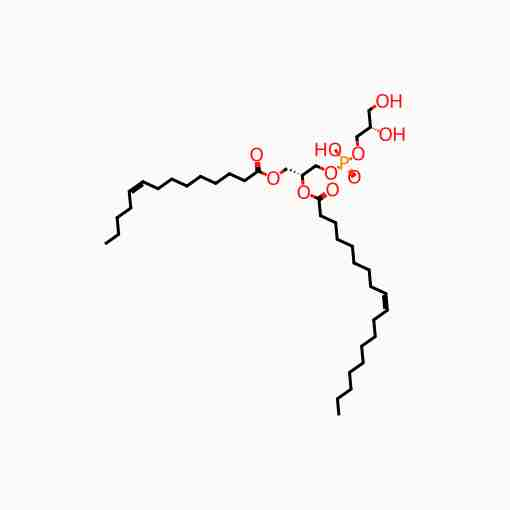 CCCC/C=C\CCCCCCCC(=O)OC[C@H](COP(=O)(O)OC[C@@H](O)CO)OC(=O)CCCCCCC/C=C\CCCCCCCC